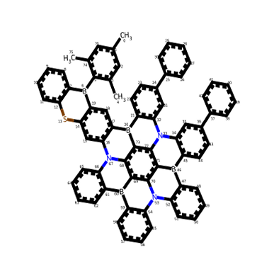 Cc1cc(C)c(B2c3ccccc3Sc3cc4c(cc32)B2c3ccc(-c5ccccc5)cc3N3c5cc(-c6ccccc6)ccc5B5c6ccccc6N6c7ccccc7B7c8ccccc8N4c4c7c6c5c3c42)c(C)c1